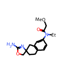 CCN(C(=O)COC)c1ccc2c(c1)CC1(CC2)COC(N)=N1